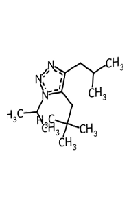 CC(C)Cc1nnn(C(C)C)c1CC(C)(C)C